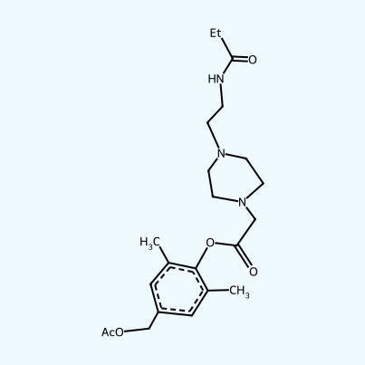 CCC(=O)NCCN1CCN(CC(=O)Oc2c(C)cc(COC(C)=O)cc2C)CC1